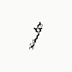 CC(=O)CN1C(C)CN(CCCCCNCC(F)(F)F)CC1C